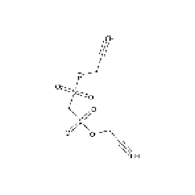 C#CCOS(=O)(=O)CS(=O)(=O)OCC#C